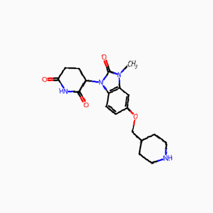 Cn1c(=O)n(C2CCC(=O)NC2=O)c2ccc(OCC3CCNCC3)cc21